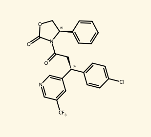 O=C(C[C@@H](c1ccc(Cl)cc1)c1cncc(C(F)(F)F)c1)N1C(=O)OC[C@H]1c1ccccc1